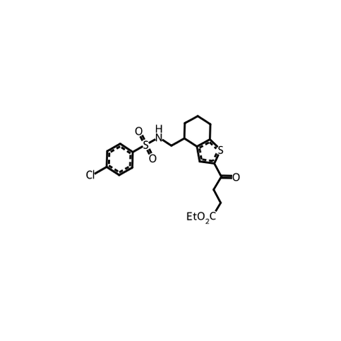 CCOC(=O)CCC(=O)c1cc2c(s1)CCCC2CNS(=O)(=O)c1ccc(Cl)cc1